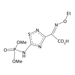 CCON=C(C(=O)O)c1nsc(NP(=O)(OC)OC)n1